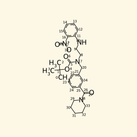 CC(C)(C)OC(=O)N(CCNc1ccccc1[N+](=O)[O-])Cc1cccc(C(=O)N2CCCCC2)c1